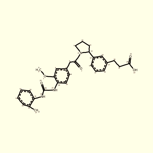 COc1cc(CC(=O)N2CCCC2c2cccc(CCC(=O)O)c2)ccc1NC(=O)Nc1ccccc1C